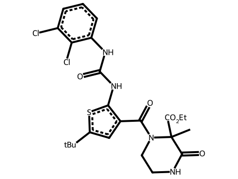 CCOC(=O)C1(C)C(=O)NCCN1C(=O)c1cc(C(C)(C)C)sc1NC(=O)Nc1cccc(Cl)c1Cl